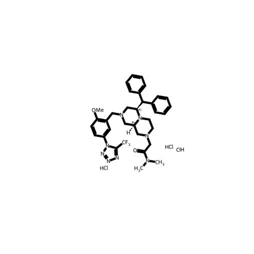 COc1ccc(-n2nnnc2C(F)(F)F)cc1CN1C[C@@H]2CN(CC(=O)N(C)C)CCN2[C@H](C(c2ccccc2)c2ccccc2)C1.Cl.Cl.Cl